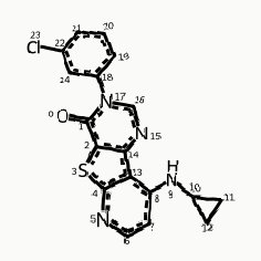 O=c1c2sc3nccc(NC4CC4)c3c2ncn1-c1cccc(Cl)c1